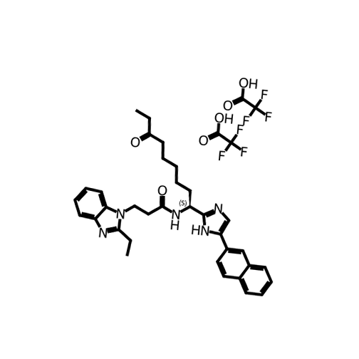 CCC(=O)CCCCC[C@H](NC(=O)CCn1c(CC)nc2ccccc21)c1ncc(-c2ccc3ccccc3c2)[nH]1.O=C(O)C(F)(F)F.O=C(O)C(F)(F)F